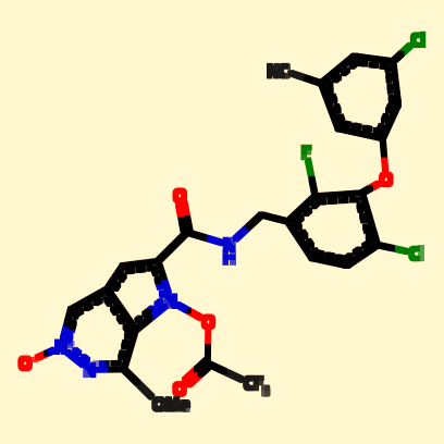 COc1n[n+]([O-])cc2cc(C(=O)NCc3ccc(Cl)c(Oc4cc(Cl)cc(C#N)c4)c3F)n(OC(=O)C(F)(F)F)c12